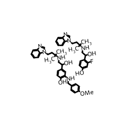 CC(C)(CCn1cnc2ccccc21)NCC(O)c1ccc(O)cc1F.COc1ccc(CNc2cc(C(O)CNC(C)(C)CCn3cnc4ccccc43)ccc2O)cc1